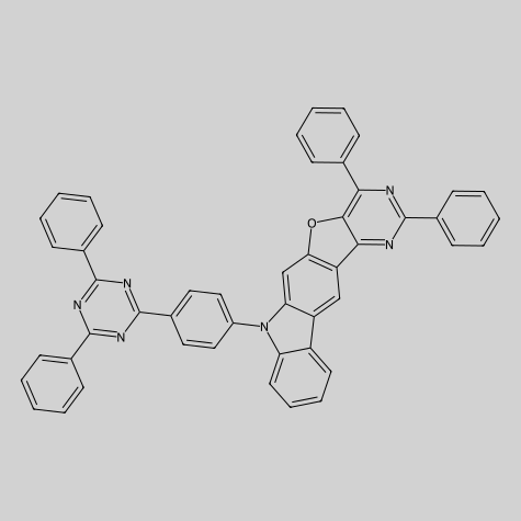 c1ccc(-c2nc(-c3ccccc3)nc(-c3ccc(-n4c5ccccc5c5cc6c(cc54)oc4c(-c5ccccc5)nc(-c5ccccc5)nc46)cc3)n2)cc1